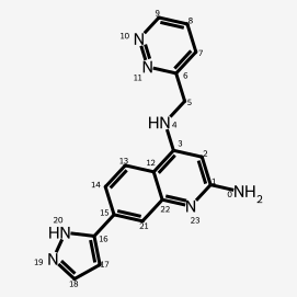 Nc1cc(NCc2cccnn2)c2ccc(-c3ccn[nH]3)cc2n1